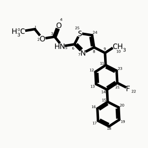 CCOC(=O)Nc1nc(C(C)c2ccc(-c3ccccc3)c(F)c2)cs1